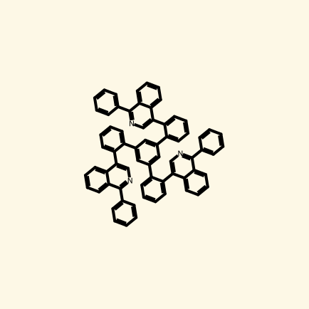 c1ccc(-c2ncc(-c3ccccc3-c3cc(-c4ccccc4-c4cnc(-c5ccccc5)c5ccccc45)cc(-c4ccccc4-c4cnc(-c5ccccc5)c5ccccc45)c3)c3ccccc23)cc1